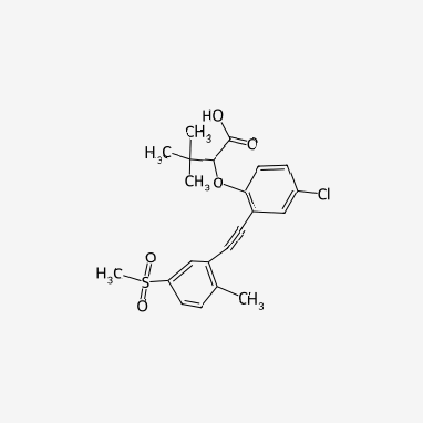 Cc1ccc(S(C)(=O)=O)cc1C#Cc1cc(Cl)ccc1OC(C(=O)O)C(C)(C)C